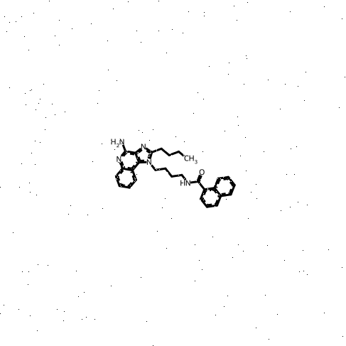 CCCCc1nc2c(N)nc3ccccc3c2n1CCCCNC(=O)c1cccc2ccccc12